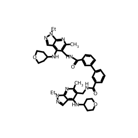 CCn1ncc2c(NC3CCOCC3)c(CNC(=O)c3cccc(-c4cccc(C(=O)NCc5c(C)nc6c(cnn6CC)c5NC5CCOCC5)c4)c3)c(C)nc21